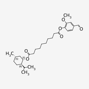 COc1cc(C=O)ccc1OC(=O)CCCCCCCCC(=O)O[C@H]1C[C@@H](C)CC[C@@H]1C(C)C